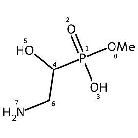 COP(=O)(O)C(O)CN